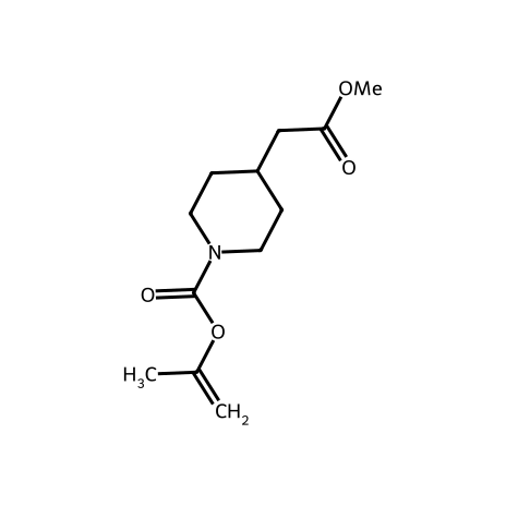 C=C(C)OC(=O)N1CCC(CC(=O)OC)CC1